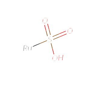 O=[S](=O)(O)[Ru]